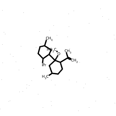 C=C(C)C1CCC(C)CC1(OC(=O)O)C1CC(C)CCC1C(C)C